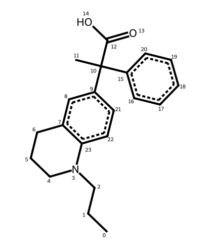 CCCN1CCCc2cc(C(C)(C(=O)O)c3ccccc3)ccc21